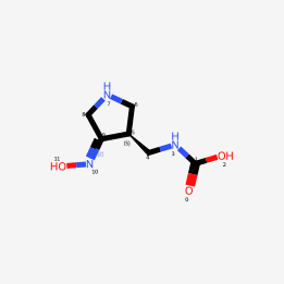 O=C(O)NC[C@@H]1CNC/C1=N\O